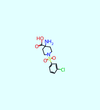 NC1(C(=O)O)CCN(S(=O)(=O)c2cccc(Cl)c2)CC1